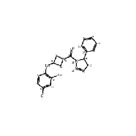 O=C(N1CC(Oc2ccc(Cl)cc2F)C1)N1N=CCC1c1ccccc1